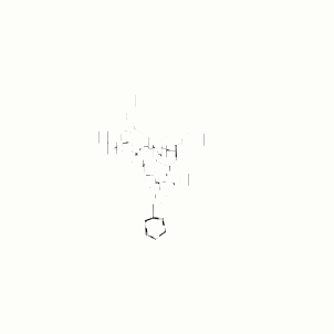 CC(C)CC(NC(=O)OCc1ccccc1)C(=O)N[C@@H](CC(C)C)C(=O)O